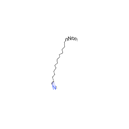 CCCCCCCCCCCCCCCCCCCCCC/C=C/[N]